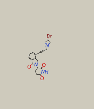 O=C1CCC(N2Cc3c(C#CCN4CC(Br)C4)cccc3C2=O)C(=O)N1